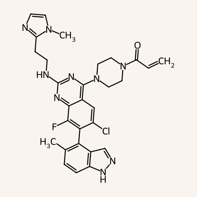 C=CC(=O)N1CCN(c2nc(NCCc3nccn3C)nc3c(F)c(-c4c(C)ccc5[nH]ncc45)c(Cl)cc23)CC1